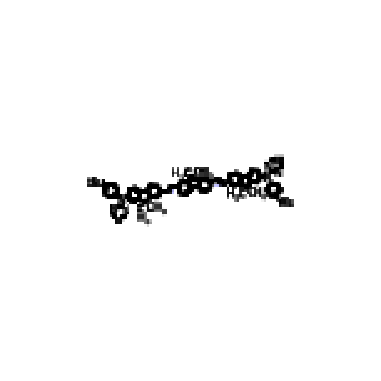 CC(C)(C)c1ccc(N(c2ccc3c(c2)C(C)(C)c2cc(/C=C/c4ccc5c(c4)C(C)(C)c4cc(/C=C/c6ccc7c(c6)C(C)(C)c6cc(N(c8ccc(C(C)(C)C)cc8)c8ncncn8)ccc6-7)ccc4-5)ccc2-3)c2ncncn2)cc1